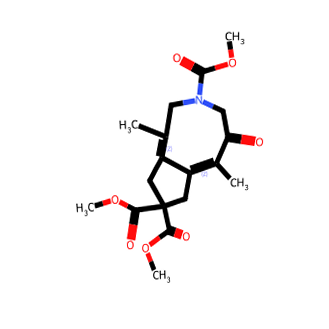 COC(=O)N1CC(=O)/C(C)=C2/CC(C(=O)OC)(C(=O)OC)C/C2=C(\C)C1